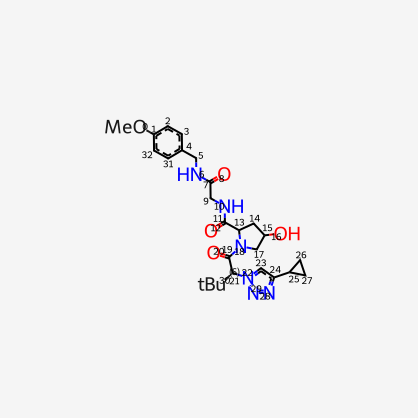 COc1ccc(CNC(=O)CNC(=O)C2CC(O)CN2C(=O)[C@@H](n2cc(C3CC3)nn2)C(C)(C)C)cc1